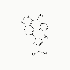 Cc1ccc(N(C)c2ncnc3ccc(-c4ccc(C(C)O)o4)cc23)o1